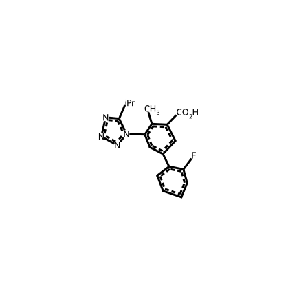 Cc1c(C(=O)O)cc(-c2ccccc2F)cc1-n1nnnc1C(C)C